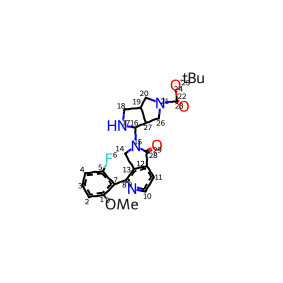 COc1cccc(F)c1-c1nccc2c1CN(C1NCC3CN(C(=O)OC(C)(C)C)CC31)C2=O